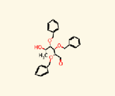 C[C@H](O)[C@H](OCc1ccccc1)[C@@H](OCc1ccccc1)[C@H](C=O)OCc1ccccc1